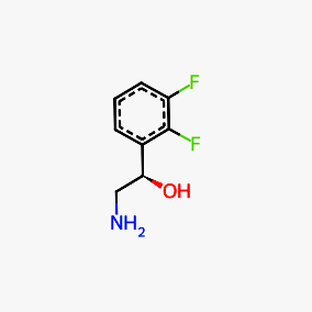 NC[C@H](O)c1cccc(F)c1F